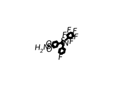 NS(=O)(=O)c1ccc(-c2sc(-c3c(F)c(F)c(F)c(F)c3F)nc2-c2ccc(F)cc2)cc1